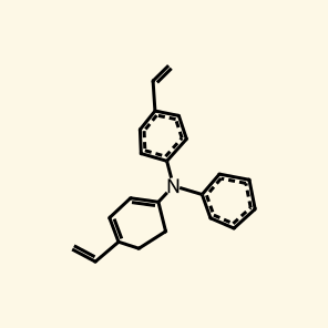 C=CC1=CC=C(N(c2ccccc2)c2ccc(C=C)cc2)CC1